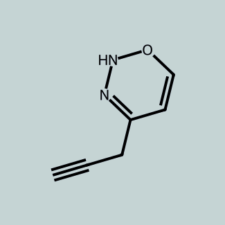 C#CCC1=NNOC=C1